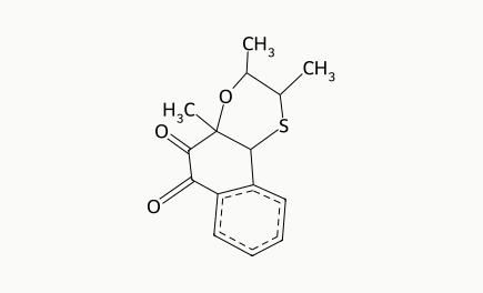 CC1OC2(C)C(=O)C(=O)c3ccccc3C2SC1C